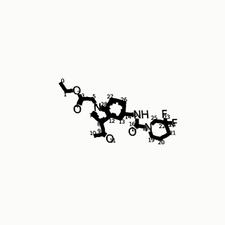 CCOC(=O)Cn1cc(C(C)=O)c2cc(NC(=O)N3CCCC(F)(F)C3)ccc21